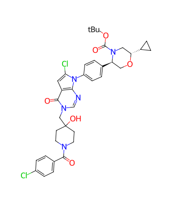 CC(C)(C)OC(=O)N1C[C@H](C2CC2)OC[C@H]1c1ccc(-n2c(Cl)cc3c(=O)n(CC4(O)CCN(C(=O)c5ccc(Cl)cc5)CC4)cnc32)cc1